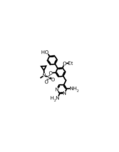 CCOc1cc(Cc2cnc(N)nc2N)cc(OS(=O)(=O)N(C)C2CC2)c1-c1ccc(O)cc1